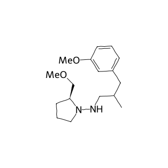 COC[C@@H]1CCCN1NCC(C)Cc1cccc(OC)c1